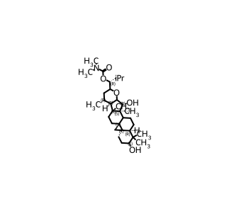 CC(C)[C@@H](OC(=O)N(C)C)C1C[C@@H](C)[C@H]2C(O1)[C@H](O)[C@@]1(C)C3CC[C@H]4C(C)(C)[C@@H](O)CC[C@@]45C[C@@]35CC[C@]21C